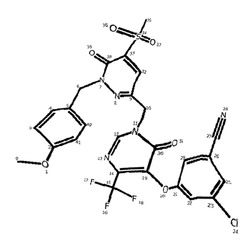 COc1ccc(Cn2nc(Cn3cnc(C(F)(F)F)c(Oc4cc(Cl)cc(C#N)c4)c3=O)cc(S(C)(=O)=O)c2=O)cc1